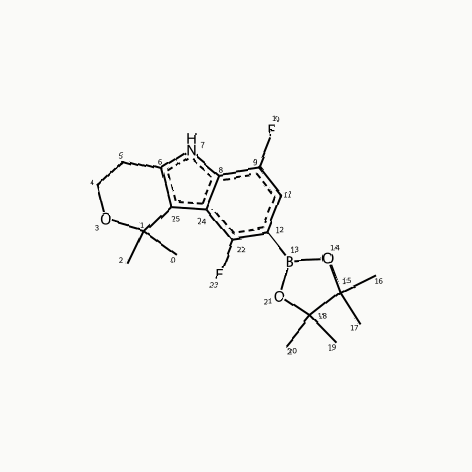 CC1(C)OCCc2[nH]c3c(F)cc(B4OC(C)(C)C(C)(C)O4)c(F)c3c21